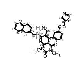 Cn1c(=O)c2c(-c3cccc(OCc4cncs4)c3)c(CN)c(NCc3ccc4ccccc4c3)nc2n(C)c1=O